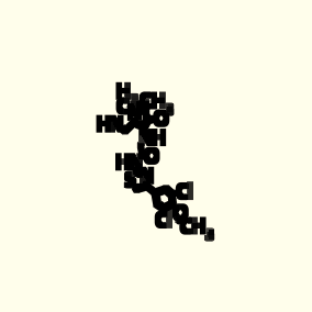 CCOc1c(Cl)cc(-c2csc(NC(=O)CNc3c(C=N)n(C)n(C)c3=O)n2)cc1Cl